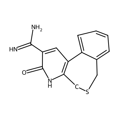 N=C(N)c1cc2c([nH]c1=O)CSCc1ccccc1-2